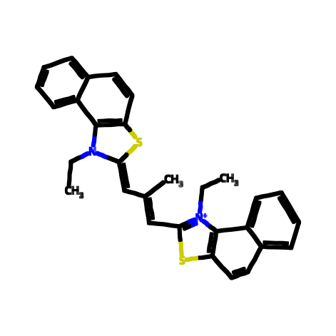 CCN1C(=CC(C)=Cc2sc3ccc4ccccc4c3[n+]2CC)Sc2ccc3ccccc3c21